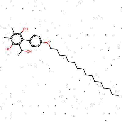 CCCCCCCCCCCCCCCCOc1ccc(-c2c(O)c(C)c(C)c(O)c2C(C)O)cc1